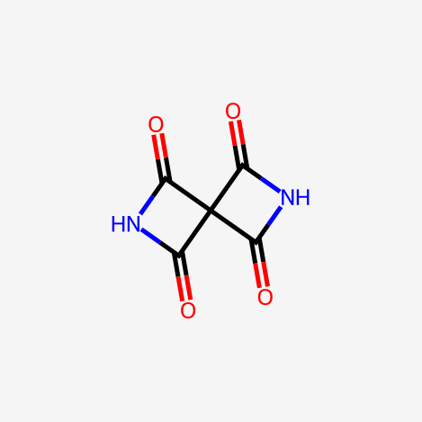 O=C1NC(=O)C12C(=O)NC2=O